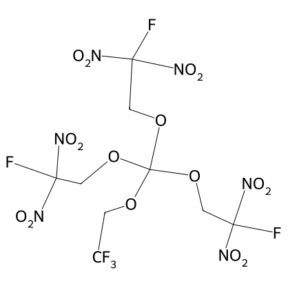 O=[N+]([O-])C(F)(COC(OCC(F)(F)F)(OCC(F)([N+](=O)[O-])[N+](=O)[O-])OCC(F)([N+](=O)[O-])[N+](=O)[O-])[N+](=O)[O-]